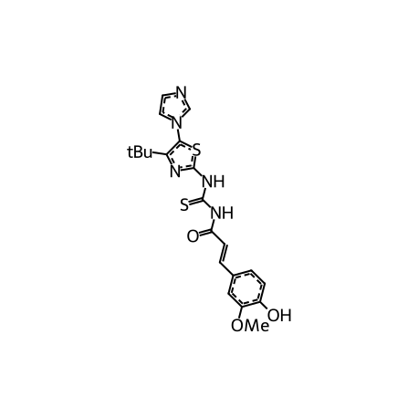 COc1cc(C=CC(=O)NC(=S)Nc2nc(C(C)(C)C)c(-n3ccnc3)s2)ccc1O